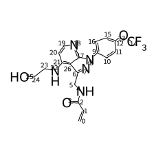 C=CC(=O)NCc1nn(-c2ccc(OC(F)(F)F)cc2)c2nccc(NCCO)c12